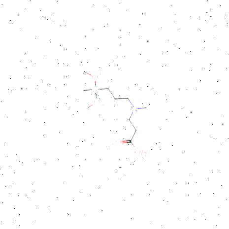 CO[Si](C)(CCCN(C)CCC(=O)O)OC